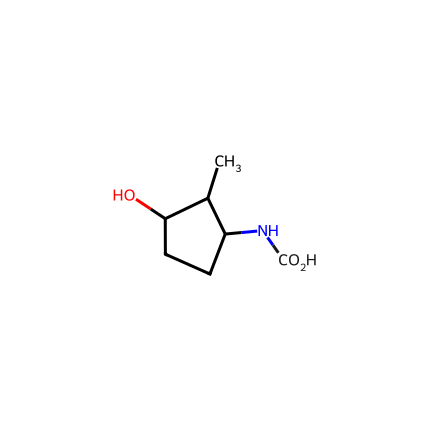 CC1C(O)CCC1NC(=O)O